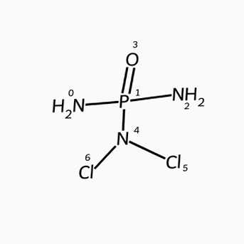 NP(N)(=O)N(Cl)Cl